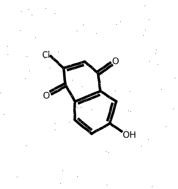 O=C1C=C(Cl)C(=O)c2ccc(O)cc21